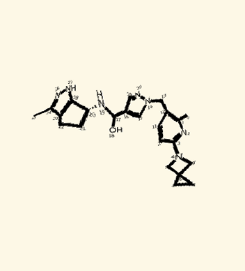 Cc1nc(N2CC3(CC3)C2)ccc1Cn1cc(C(O)N[C@@H]2CCc3c(C)n[nH]c32)cn1